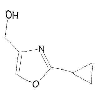 OCc1coc(C2CC2)n1